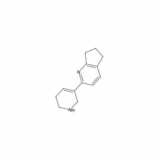 C1=C(c2ccc3c(n2)CCC3)CNCC1